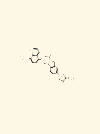 CC1CN(c2ccc(C#N)c3ncccc23)CC2c3ccc(N4C[C@@H](N)[C@@H](C)C4)cc3CN12